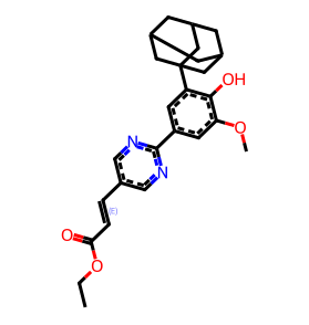 CCOC(=O)/C=C/c1cnc(-c2cc(OC)c(O)c(C34CC5CC(CC(C5)C3)C4)c2)nc1